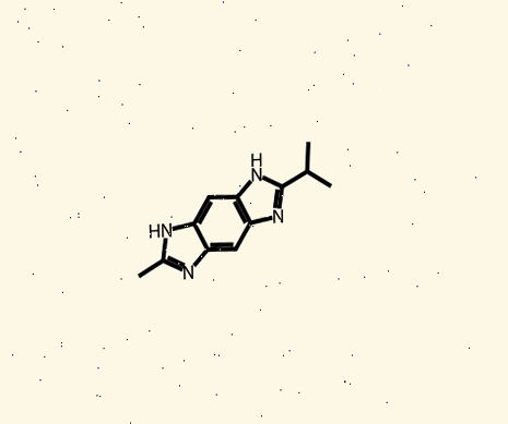 Cc1nc2cc3nc(C(C)C)[nH]c3cc2[nH]1